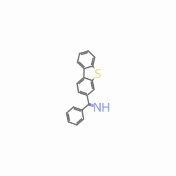 N=C(c1ccccc1)c1ccc2c(c1)sc1ccccc12